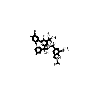 COc1cc(C(=O)NC[C@@](O)(c2cccc(F)c2)c2cc(C(C)(C)O)c(F)c(-c3cc(F)c(F)cc3F)n2)cc2cn(C(F)F)nc12